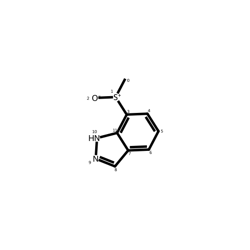 C[S+]([O-])c1cccc2cn[nH]c12